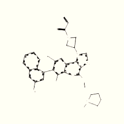 C=CC(=O)N1CC(n2cnc3c(OC[C@@H]4CCCN4C)nc4c(F)c(-c5cc(O)cc6ccccc56)c(Cl)cc4c32)C1